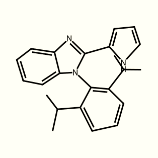 CC(C)c1cccc(C(C)C)c1-n1c(-c2ccc[nH]2)nc2ccccc21